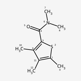 Cc1sc(C(=O)N(C)C)c(C)c1C